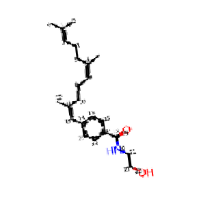 CC(C)=CCCC(C)=CCCC(C)=Cc1ccc(C(=O)NCCO)cc1